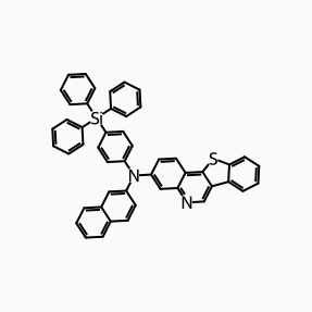 c1ccc([Si](c2ccccc2)(c2ccccc2)c2ccc(N(c3ccc4ccccc4c3)c3ccc4c(c3)ncc3c5ccccc5sc43)cc2)cc1